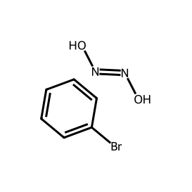 Brc1ccccc1.ON=NO